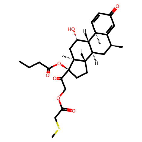 CCCC(=O)O[C@]1(C(=O)COC(=O)CSC)CC[C@H]2[C@@H]3C[C@H](C)C4=CC(=O)C=C[C@]4(C)[C@H]3[C@@H](O)C[C@@]21C